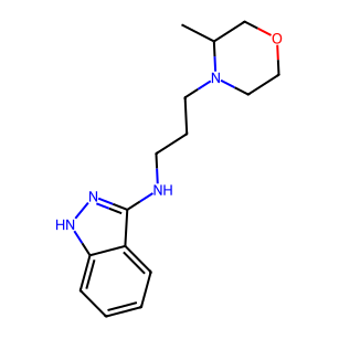 CC1COCCN1CCCNc1n[nH]c2ccccc12